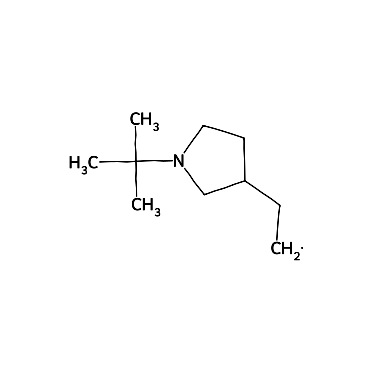 [CH2]CC1CCN(C(C)(C)C)C1